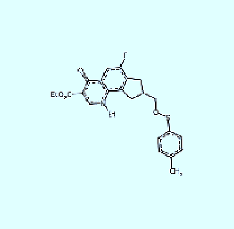 CCOC(=O)c1cn(CC)c2c3c(c(F)cc2c1=O)CC(COSc1ccc(C)cc1)C3